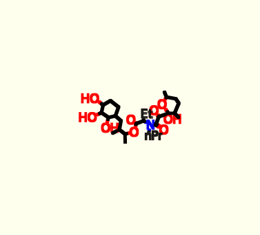 CCCN(C(=O)C(=O)C1(O)OC(C)CCC1C)C(CC)C(=O)OC(C)C(C)CC1CCC(O)C(O)C1O